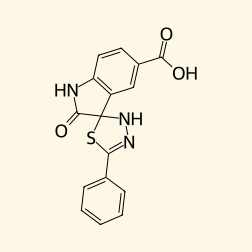 O=C(O)c1ccc2c(c1)C1(NN=C(c3ccccc3)S1)C(=O)N2